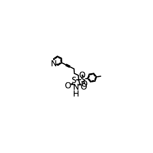 Cc1ccc(S(=O)(=O)C2(CCCC#Cc3cccnc3)SC(=O)NC2=O)cc1